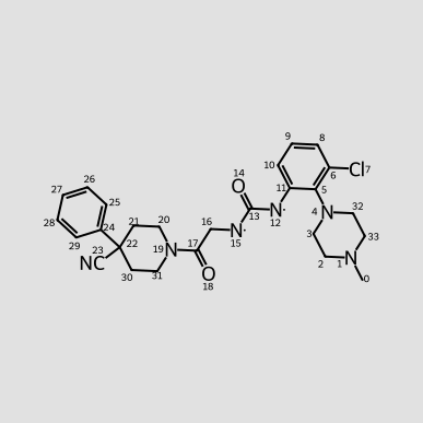 CN1CCN(c2c(Cl)cccc2[N]C(=O)[N]CC(=O)N2CCC(C#N)(c3ccccc3)CC2)CC1